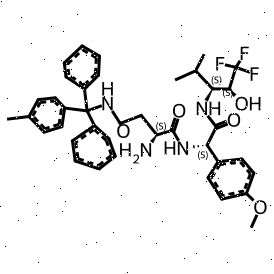 COc1ccc([C@H](NC(=O)[C@@H](N)CC(=O)NC(c2ccccc2)(c2ccccc2)c2ccc(C)cc2)C(=O)N[C@@H](C(C)C)[C@H](O)C(F)(F)F)cc1